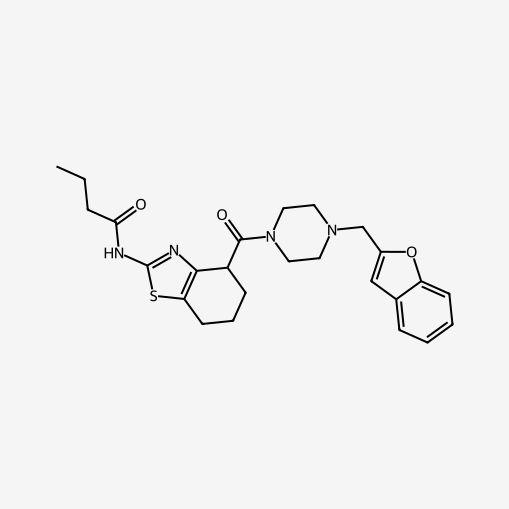 CCCC(=O)Nc1nc2c(s1)CCCC2C(=O)N1CCN(Cc2cc3ccccc3o2)CC1